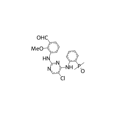 COc1c(C=O)cccc1Nc1ncc(Cl)c(Nc2ccccc2P(C)(C)=O)n1